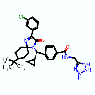 CC(C)(C)C1CCC2(CC1)N=C(c1cccc(Cl)c1)C(=O)N2[C@@H](c1ccc(C(=O)NCC2=NNNN2)cc1)C1CC1